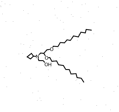 CCCCCCCCCCCCOCC(CN(CCO)C1CCC1)OCCCCCCCCCCCC